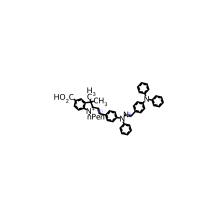 CCCCC[N+]1=C(/C=C/c2ccc(N(/N=C/c3ccc(N(c4ccccc4)c4ccccc4)cc3)c3ccccc3)cc2)C(C)(C)c2cc(C(=O)O)ccc21